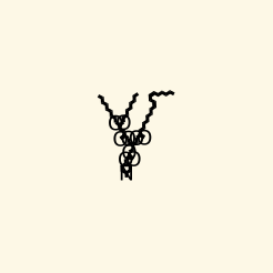 CCCCC/C=C\C/C=C\CCCCCCCC(=O)OCC(COC(=O)CCC(OCCCCCCCC)OCCCCCCCC)COC(=O)OC1CCN(C)CC1